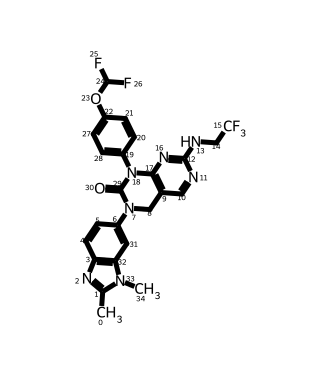 Cc1nc2ccc(N3Cc4cnc(NCC(F)(F)F)nc4N(c4ccc(OC(F)F)cc4)C3=O)cc2n1C